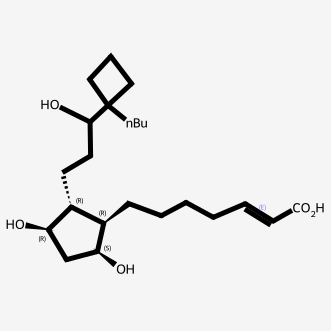 CCCCC1(C(O)CC[C@@H]2[C@@H](CCCC/C=C/C(=O)O)[C@@H](O)C[C@H]2O)CCC1